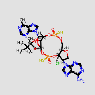 Cc1ncnc2c1ncn2[C@@H]1O[C@@H]2OP(=O)(S)O[C@@H]3[C@@H](COP(=O)(S)O[C@@H]1C2O[Si](C)(C)C(C)(C)C)OC[C@@]3(Cl)n1cnc2c(N)ncnc21